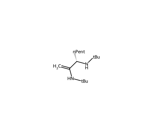 C=C(NC(C)(C)C)[C@H](CCCCC)NC(C)(C)C